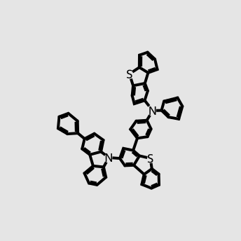 c1ccc(-c2ccc3c(c2)c2ccccc2n3-c2cc(-c3ccc(N(c4ccccc4)c4ccc5sc6ccccc6c5c4)cc3)c3sc4ccccc4c3c2)cc1